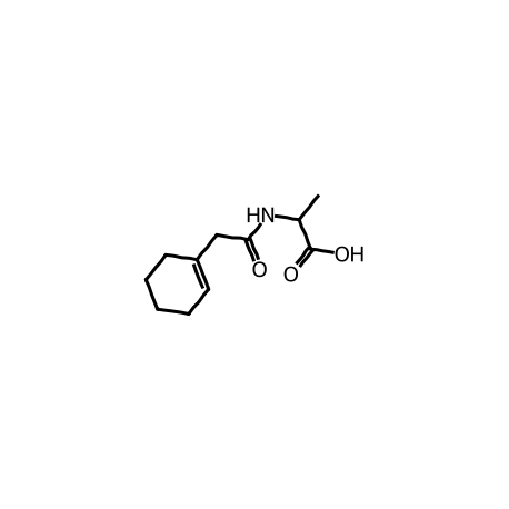 CC(NC(=O)CC1=CCCCC1)C(=O)O